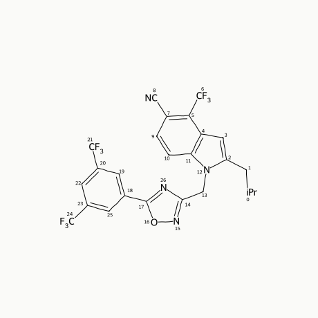 CC(C)Cc1cc2c(C(F)(F)F)c(C#N)ccc2n1Cc1noc(-c2cc(C(F)(F)F)cc(C(F)(F)F)c2)n1